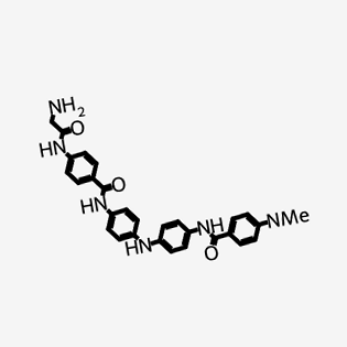 CNc1ccc(C(=O)Nc2ccc(Nc3ccc(NC(=O)c4ccc(NC(=O)CN)cc4)cc3)cc2)cc1